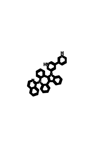 C1=CC(C2=CNCC(n3c4c(c5ccccc53)-c3ccccc3N(c3nccc5ccccc35)c3ccccc3-4)=C2)=CNC1